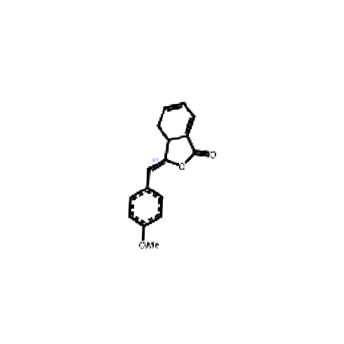 COc1ccc(/C=C2\OC(=O)C3=CC=CCC32)cc1